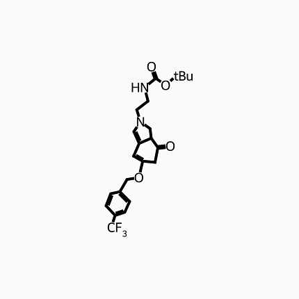 CC(C)(C)OC(=O)NCCN1C=C2C=C(OCc3ccc(C(F)(F)F)cc3)CC(=O)C2C1